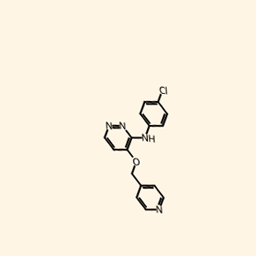 Clc1ccc(Nc2nnccc2OCc2ccncc2)cc1